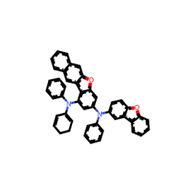 C1=CC(N(c2ccccc2)c2cc(N(c3ccccc3)c3ccc4oc5ccccc5c4c3)cc3oc4cc5ccccc5cc4c23)=CCC1